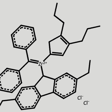 CCCC1=C(CCC)C[C]([Zr+2](=[C](c2ccccc2)c2ccccc2)[CH]2c3cc(CC)ccc3-c3ccc(CC)cc32)=C1.[Cl-].[Cl-]